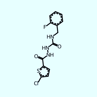 O=C(NCc1ccccc1F)NNC(=O)c1ccc(Cl)s1